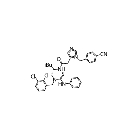 CC[C@H](C)[C@@H](CN(Cc1cccc(Cl)c1Cl)C(=S)Nc1ccccc1)NC(=O)Cc1cncn1Cc1ccc(C#N)cc1